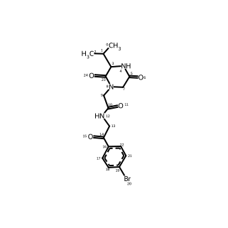 CC(C)C1NC(=O)CN(CC(=O)NCC(=O)c2ccc(Br)cc2)C1=O